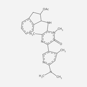 CC(=O)OC1Cc2ccccc2C1Nc1c(C)nc(-c2cnc(N(C)C)cc2C)c(=O)n1C